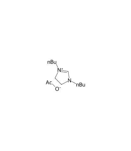 CC(=O)[O-].CCCCN1C=[N+](CCCC)CC1